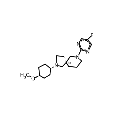 CO[C@H]1CC[C@H](N2CC[C@]3(CCCN(c4ncc(F)cn4)C3)C2)CC1